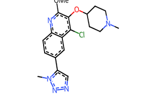 COc1nc2ccc(-c3cnnn3C)cc2c(Cl)c1OC1CCN(C)CC1